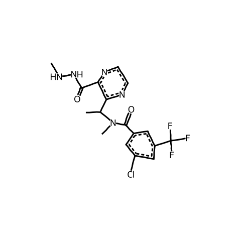 CNNC(=O)c1nccnc1C(C)N(C)C(=O)c1cc(Cl)cc(C(F)(F)F)c1